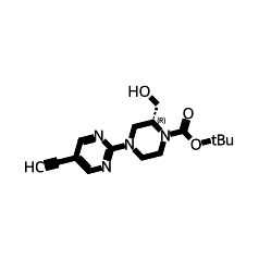 C#Cc1cnc(N2CCN(C(=O)OC(C)(C)C)[C@@H](CO)C2)nc1